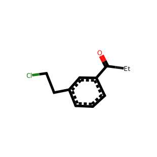 CCC(=O)c1cccc(CCCl)c1